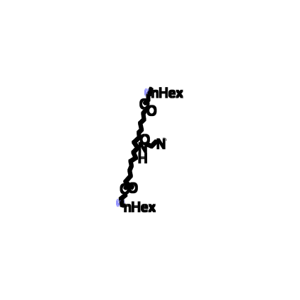 CCCCCC/C=C\COC(=O)CCCCCCCC(CCCCCCCC(=O)OC/C=C\CCCCCC)NC(=O)CCN(C)C